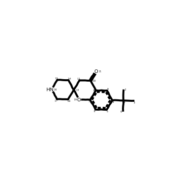 CC(C)(C)c1ccc2c(c1)C(=O)CC1(CCNCC1)O2